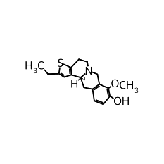 CCc1cc2c(s1)CCN1Cc3c(ccc(O)c3OC)C[C@@H]21